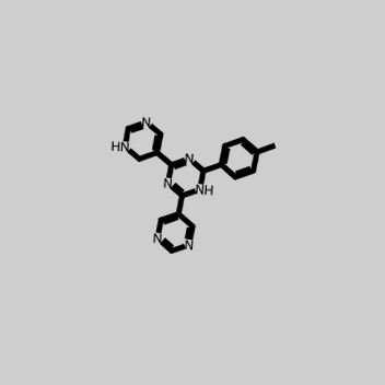 Cc1ccc(C2N=C(C3=CN=CNC3)N=C(c3cncnc3)N2)cc1